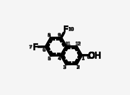 Oc1ccc2cc(F)cc(F)c2c1